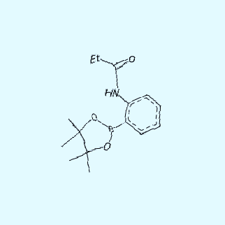 CCC(=O)Nc1ccccc1B1OC(C)(C)C(C)(C)O1